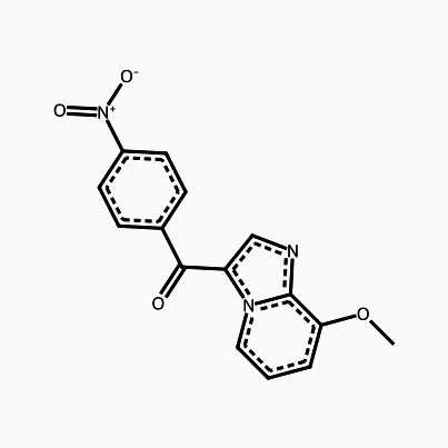 COc1cccn2c(C(=O)c3ccc([N+](=O)[O-])cc3)cnc12